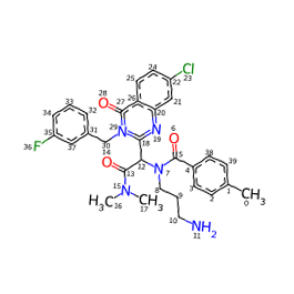 Cc1ccc(C(=O)N(CCCN)C(C(=O)N(C)C)c2nc3cc(Cl)ccc3c(=O)n2Cc2cccc(F)c2)cc1